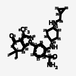 CC1(C)CC(=O)c2c(C(F)(F)F)nn(-c3ccc(C(N)=O)c(N[C@H]4CC[C@H](NCC5CC5)CC4)c3)c2C1